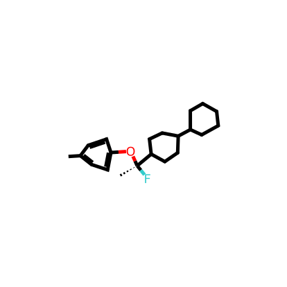 Cc1ccc(O[C@](C)(F)C2CCC(C3CCCCC3)CC2)cc1